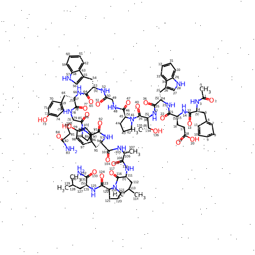 CC(=O)N[C@@H](Cc1ccccc1)C(=O)N[C@@H](CCC(=O)O)C(=O)N[C@@H](Cc1c[nH]c2ccccc12)C(=O)N[C@H](C(=O)N1CCC[C@H]1C(=O)NCC(=O)N[C@@H](Cc1c[nH]c2ccccc12)C(=O)N[C@@H](Cc1ccc(O)cc1)C(=O)N[C@@H](CCC(N)=O)C(=O)N1CCC1C(=O)N[C@@H](Cc1ccc(O)cc1)C(=O)N[C@@H](C)C(=O)N[C@@H](CC(C)C)C(=O)N1CCC[C@H]1C(=O)N[C@@H](CC(C)C)C(N)=O)[C@@H](C)O